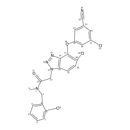 CN(Cc1ccccc1Cl)C(=O)Cn1nnc2c(Oc3cc(Cl)cc(C#N)c3)c(Cl)ccc21